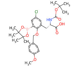 COc1ccc(COc2c(C[C@H](NC(=O)OC(C)(C)C)C(=O)O)cc(Cl)cc2B2OC(C)(C)C(C)(C)O2)cc1